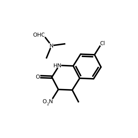 CC1c2ccc(Cl)cc2NC(=O)C1[N+](=O)[O-].CN(C)C=O